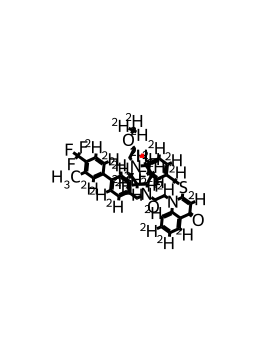 [2H]c1c([2H])c(F)c(F)c(C([2H])([2H])Sc2c([2H])c(=O)c3c([2H])c([2H])c([2H])c([2H])c3n2CC(=O)N(Cc2c([2H])c([2H])c(-c3c([2H])c([2H])c(C(F)(F)F)c(C)c3[2H])c([2H])c2[2H])C2([2H])C([2H])([2H])C([2H])([2H])N(CCOC([2H])([2H])[2H])C([2H])([2H])C2([2H])[2H])c1[2H]